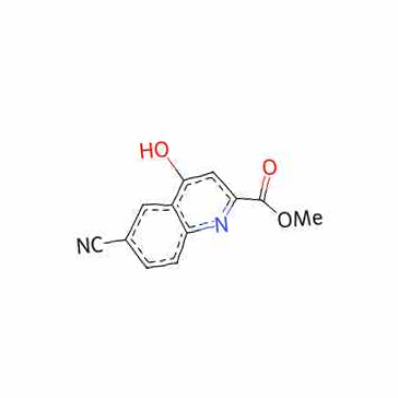 COC(=O)c1cc(O)c2cc(C#N)ccc2n1